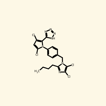 CCCCc1nc(Cl)c(Cl)n1Cc1ccc(-n2c(Cl)cc(Cl)c2-c2nnn[nH]2)cc1